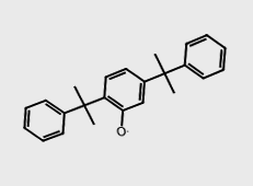 CC(C)(c1ccccc1)c1ccc(C(C)(C)c2ccccc2)c([O])c1